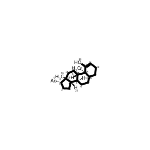 CC(=O)[C@H]1CC[C@H]2[C@@H]3CCC4CCC=C(O)[C@]4(C)[C@H]3CC[C@]12C